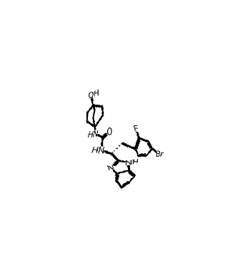 O=C(N[C@H](Cc1ccc(Br)cc1F)c1nc2ccccc2[nH]1)NC12CCC(O)(CC1)CC2